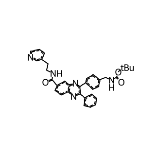 CC(C)(C)OC(=O)NCc1ccc(-c2nc3cc(C(=O)NCCc4cccnc4)ccc3nc2-c2ccccc2)cc1